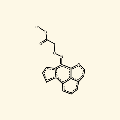 CC(C)OC(=O)CO/N=c1/c2nccc3cccc(c32)n2cccc12